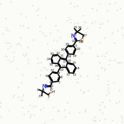 CC1(C)CSC(c2ccc(-c3c4ccccc4c(-c4ccc(C5=NC(C)(C)CS5)cc4)c4ccccc34)cc2)=N1